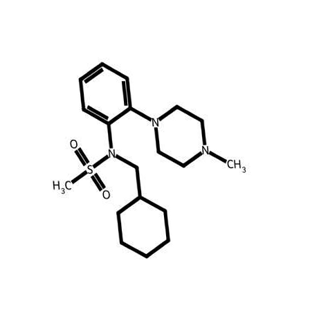 CN1CCN(c2ccccc2N(CC2CCCCC2)S(C)(=O)=O)CC1